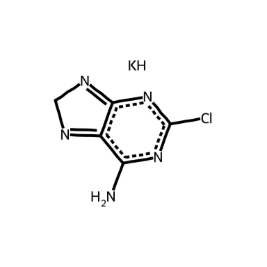 Nc1nc(Cl)nc2c1=NCN=2.[KH]